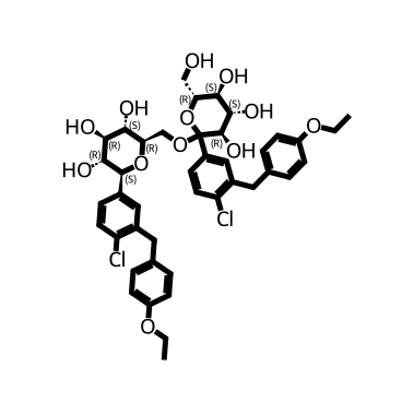 CCOc1ccc(Cc2cc([C@@H]3O[C@H](COC4(c5ccc(Cl)c(Cc6ccc(OCC)cc6)c5)O[C@H](CO)[C@@H](O)[C@H](O)[C@H]4O)[C@@H](O)[C@H](O)[C@H]3O)ccc2Cl)cc1